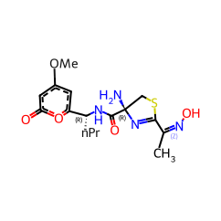 CCC[C@@H](NC(=O)[C@]1(N)CSC(/C(C)=N\O)=N1)c1cc(OC)cc(=O)o1